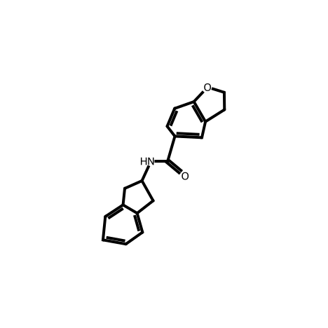 O=C(NC1Cc2ccccc2C1)c1ccc2c(c1)CCO2